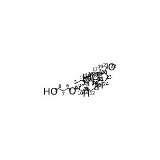 C[C@]12CC[C@H](OCCCO)C[C@H]1CC[C@@H]1[C@@H]2CC[C@]2(C)[C@@H](C=O)CC[C@]12O